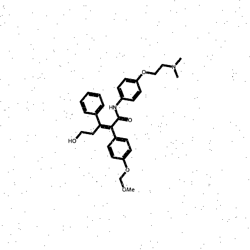 COCOc1ccc(/C(C(=O)Nc2ccc(OCCN(C)C)cc2)=C(\CCO)c2ccccc2)cc1